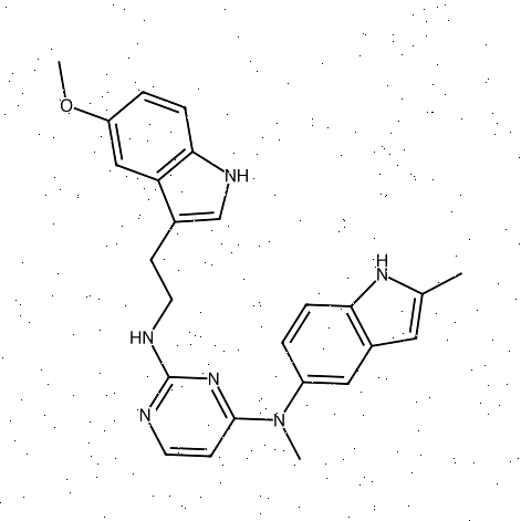 COc1ccc2[nH]cc(CCNc3nccc(N(C)c4ccc5[nH]c(C)cc5c4)n3)c2c1